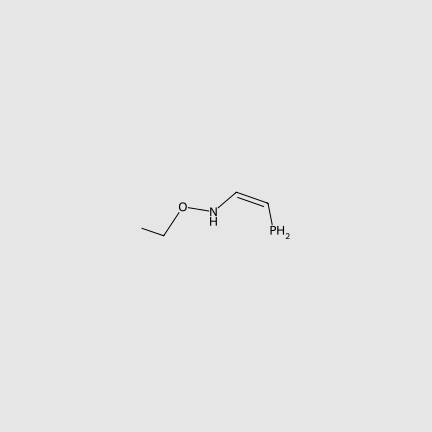 CCON/C=C\P